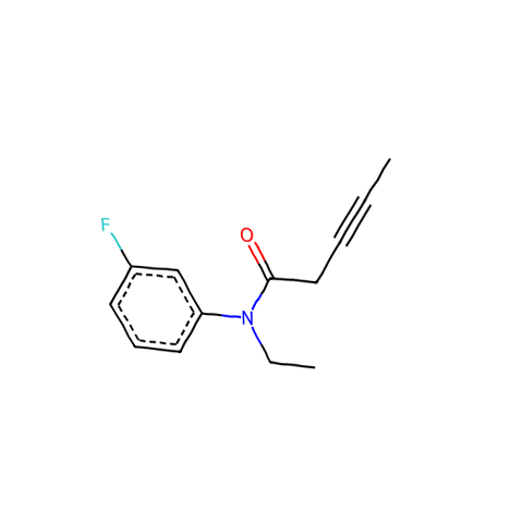 CC#CCC(=O)N(CC)c1cccc(F)c1